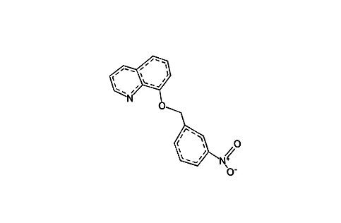 O=[N+]([O-])c1cccc(COc2cccc3cccnc23)c1